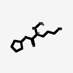 CN[C@@H](CCCO)C(=O)OC1CCCC1